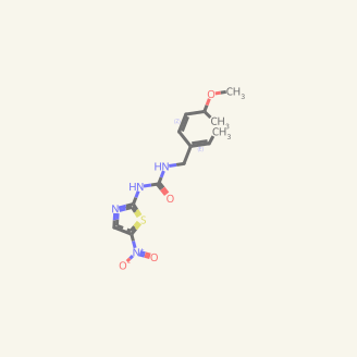 C/C=C(\C=C/C(C)OC)CNC(=O)Nc1ncc([N+](=O)[O-])s1